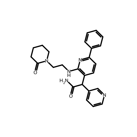 NC(=O)C(c1cccnc1)c1ccc(-c2ccccc2)nc1NCCN1CCCCC1=O